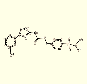 CCCN(CCC)S(=O)(=O)c1ccc(CCC(=O)Nc2nc(-c3cccc(O)c3)cs2)cc1